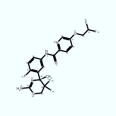 C[C@]1(c2cc(NC(=O)c3ccc(OCC(F)F)cn3)ccc2F)N=C(N)OCC1(F)F